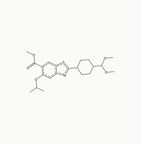 COC(=O)c1cc2sc(C3CCC(C(OC)OC)CC3)nc2cc1OC(C)C